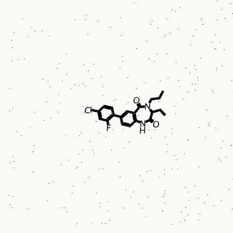 CCCN1C(=O)c2cc(-c3ccc(Cl)cc3F)ccc2NC(=O)C1CC